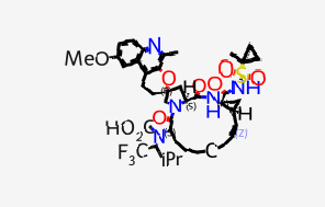 COc1ccc2nc(C)c3c(c2c1)CC[C@]1(C[C@H]2C(=O)N[C@]4(C(=O)NS(=O)(=O)C5(C)CC5)C[C@H]4/C=C\CCCCC[C@H](N(C(=O)O)C(C(C)C)C(F)(F)F)C(=O)N2C1)O3